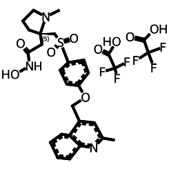 Cc1cc(COc2ccc(S(=O)(=O)C[C@@]3(CC(=O)NO)CCCN3C)cc2)c2ccccc2n1.O=C(O)C(F)(F)F.O=C(O)C(F)(F)F